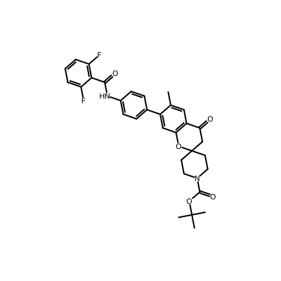 Cc1cc2c(cc1-c1ccc(NC(=O)c3c(F)cccc3F)cc1)OC1(CCN(C(=O)OC(C)(C)C)CC1)CC2=O